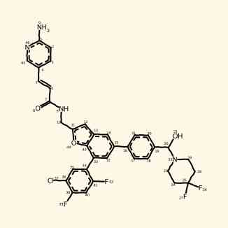 Nc1ccc(/C=C/C(=O)NCc2cc3cc(-c4ccc(C(O)N5CCC(F)(F)CC5)cc4)cc(-c4cc(Cl)c(F)cc4F)c3o2)cn1